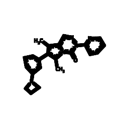 Cc1c(-c2cccc(N3CCC3)c2)c(C)n2c(=O)n(-c3ccccn3)ncc12